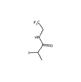 CC(I)C(=O)NCC(F)(F)F